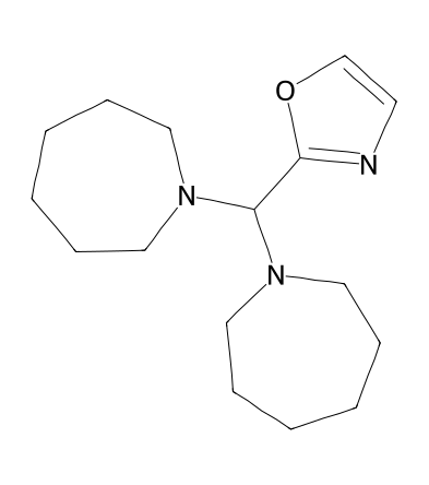 c1coc(C(N2CCCCCC2)N2CCCCCC2)n1